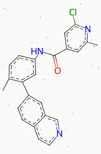 Cc1cc(C(=O)Nc2ccc(C)c(-c3ccc4ccncc4c3)c2)cc(Cl)n1